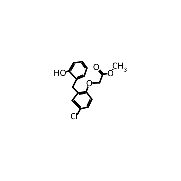 COC(=O)COc1ccc(Cl)cc1Cc1ccccc1O